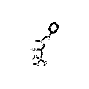 CO[Si](CC(N)C[SiH](C)CNc1ccccc1)(OC)OC